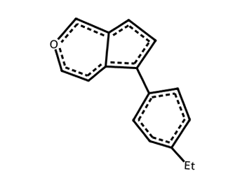 CCc1ccc(-c2ccc3coccc2-3)cc1